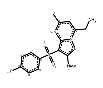 CNc1nn2c(CN)cc(C)nc2c1S(=O)(=O)c1ccc(F)cc1